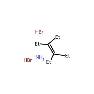 Br.Br.CCC(CC)=C(CC)CC.N